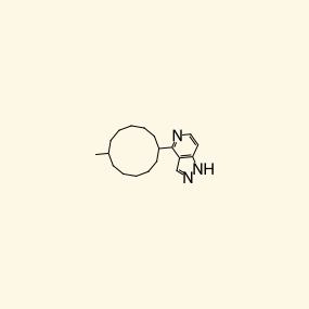 CC1CCCCCC(c2nccc3[nH]ncc23)CCCCC1